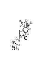 CC1Cc2cc(C(=O)NCCN3CCOCC3)ccc2N(C)C1